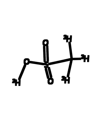 [2H]OS(=O)(=O)C([2H])([2H])[2H]